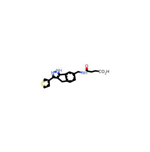 O=C(O)CCC(=O)NCc1ccc2c(c1)-c1[nH]nc(-c3ccsc3)c1C2